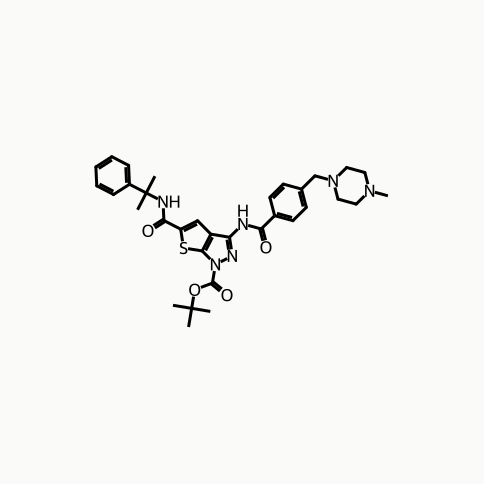 CN1CCN(Cc2ccc(C(=O)Nc3nn(C(=O)OC(C)(C)C)c4sc(C(=O)NC(C)(C)c5ccccc5)cc34)cc2)CC1